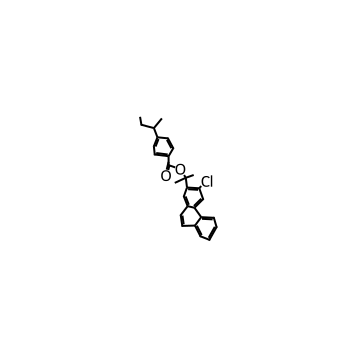 CCC(C)c1ccc(C(=O)OC(C)(C)c2cc3ccc4ccccc4c3cc2Cl)cc1